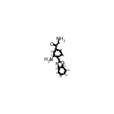 NCC(=O)c1ccc(-c2nc3ccccc3o2)c(N)c1